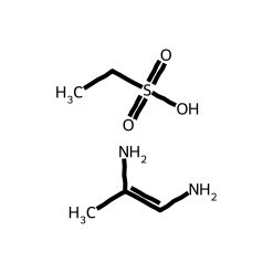 CC(N)=CN.CCS(=O)(=O)O